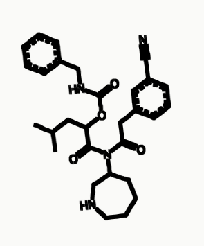 CC(C)CC(OC(=O)NCc1ccccc1)C(=O)N(C(=O)Cc1cccc(C#N)c1)C1CCCCNC1